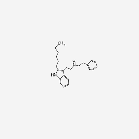 CCCCCCc1[nH]c2ccccc2c1CCNCCc1ccccc1